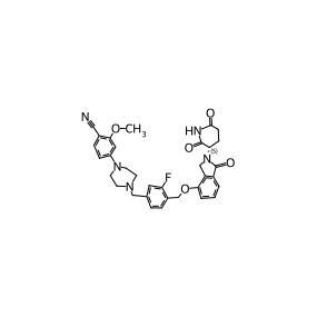 COc1cc(N2CCN(Cc3ccc(COc4cccc5c4CN([C@H]4CCC(=O)NC4=O)C5=O)c(F)c3)CC2)ccc1C#N